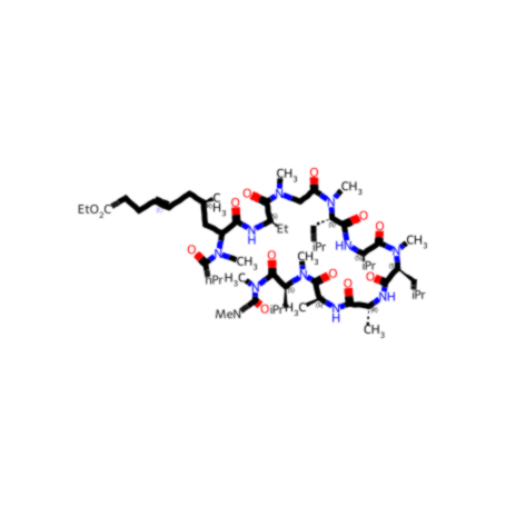 CCCC(=O)N(C)C(C[C@H](C)C/C=C/CCC(=O)OCC)C(=O)N[C@@H](CC)C(=O)N(C)CC(=O)N(C)[C@@H](CC(C)C)C(=O)N[C@H](C(=O)N(C)[C@@H](CC(C)C)C(=O)N[C@H](C)C(=O)N[C@@H](C)C(=O)N(C)[C@@H](CC(C)C)C(=O)N(C)C(=O)NC)C(C)C